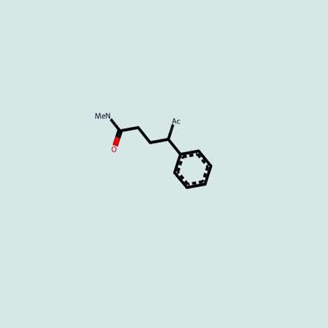 CNC(=O)CCC(C(C)=O)c1ccccc1